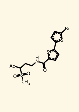 CC(=O)C(CCNC(=O)c1ccc(-c2ccc(Br)s2)s1)S(C)(=O)=O